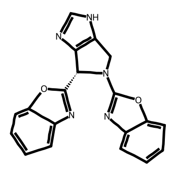 c1ccc2oc([C@@H]3c4nc[nH]c4CN3c3nc4ccccc4o3)nc2c1